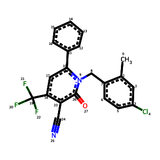 Cc1cc(Cl)ccc1Cn1c(-c2ccccc2)cc(C(F)(F)F)c(C#N)c1=O